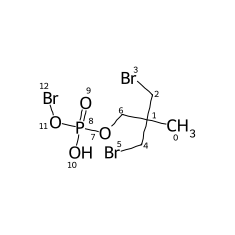 CC(CBr)(CBr)COP(=O)(O)OBr